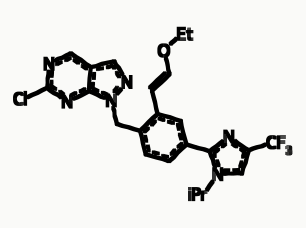 CCO/C=C/c1cc(-c2nc(C(F)(F)F)cn2C(C)C)ccc1Cn1ncc2cnc(Cl)nc21